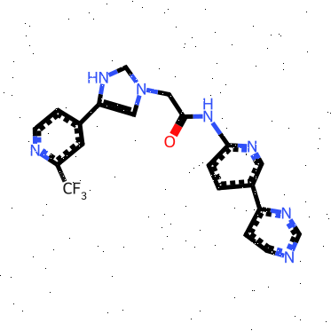 O=C(CN1C=C(c2ccnc(C(F)(F)F)c2)NC1)Nc1ccc(-c2ccncn2)cn1